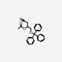 CC(=O)OC(CC#N)COC(c1ccccc1)(c1ccccc1)c1ccccc1